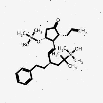 C=CC[C@H]1C(=O)C[C@@H](O[Si](C)(C)C(C)(C)C)[C@@H]1/C=C/[C@H](CCc1ccccc1)CC(C)(C)[Si](C)(C)O